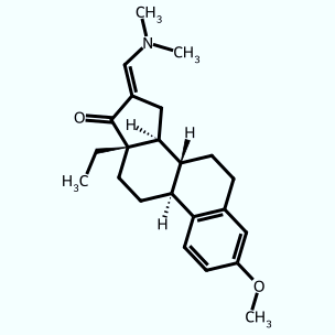 CC[C@]12CC[C@@H]3c4ccc(OC)cc4CC[C@H]3[C@@H]1CC(=CN(C)C)C2=O